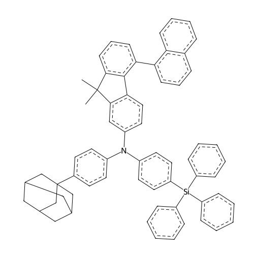 CC1(C)c2cc(N(c3ccc(C45CC6CC(CC(C6)C4)C5)cc3)c3ccc([Si](c4ccccc4)(c4ccccc4)c4ccccc4)cc3)ccc2-c2c(-c3cccc4ccccc34)cccc21